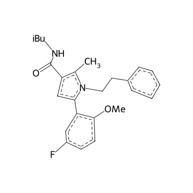 CCC(C)NC(=O)c1cc(-c2cc(F)ccc2OC)n(CCc2ccccc2)c1C